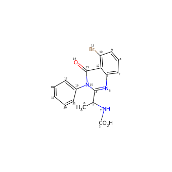 CC(NC(=O)O)c1nc2cccc(Br)c2c(=O)n1-c1ccccc1